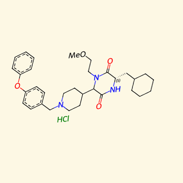 COCCN1C(=O)[C@H](CC2CCCCC2)NC(=O)C1C1CCN(Cc2ccc(Oc3ccccc3)cc2)CC1.Cl